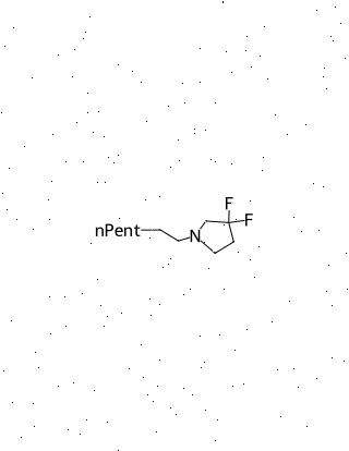 CCCCCCCN1CCC(F)(F)C1